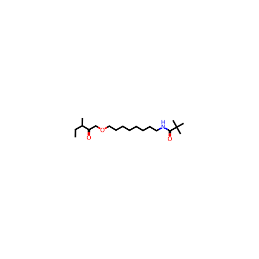 CCC(C)C(=O)COCCCCCCCCNC(=O)C(C)(C)C